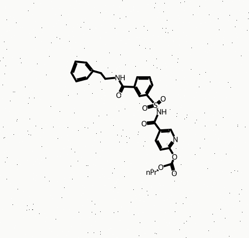 CCCOC(=O)Oc1ccc(C(=O)NS(=O)(=O)c2cccc(C(=O)NCCc3ccccc3)c2)cn1